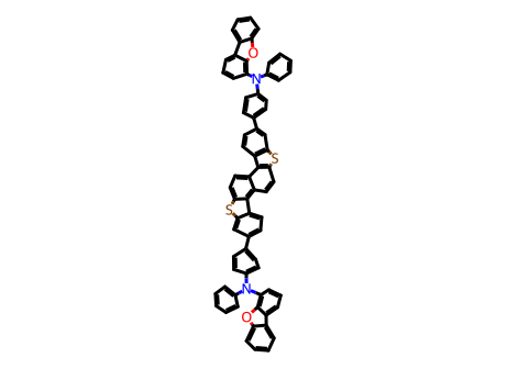 c1ccc(N(c2ccc(-c3ccc4c(c3)sc3ccc5c(ccc6sc7cc(-c8ccc(N(c9ccccc9)c9cccc%10c9oc9ccccc9%10)cc8)ccc7c65)c34)cc2)c2cccc3c2oc2ccccc23)cc1